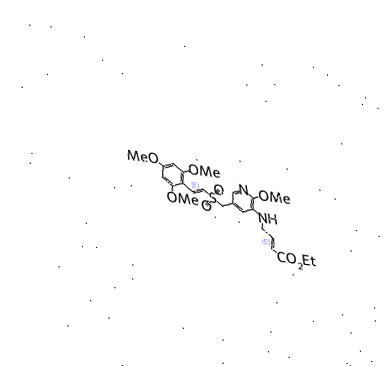 CCOC(=O)/C=C/CNc1cc(CS(=O)(=O)/C=C/c2c(OC)cc(OC)cc2OC)cnc1OC